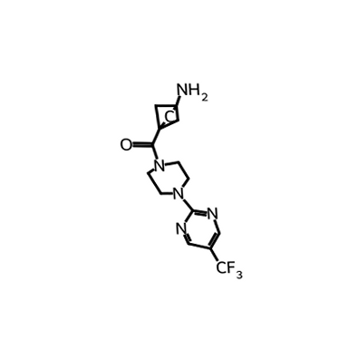 NC12CC(C(=O)N3CCN(c4ncc(C(F)(F)F)cn4)CC3)(C1)C2